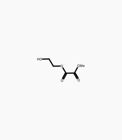 COC(=O)C(=O)OCCO